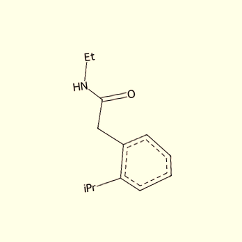 CCNC(=O)Cc1ccccc1C(C)C